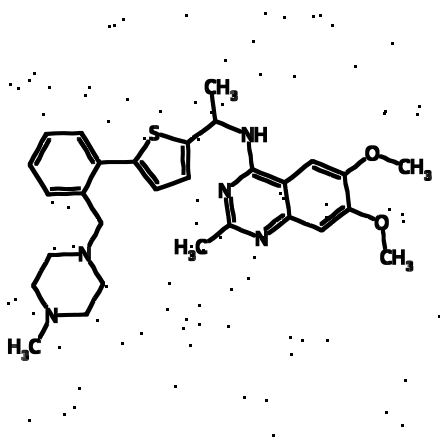 COc1cc2nc(C)nc(NC(C)c3ccc(-c4ccccc4CN4CCN(C)CC4)s3)c2cc1OC